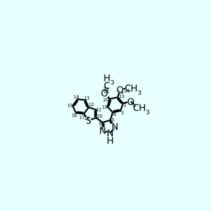 COc1cc(-c2n[nH]nc2-c2cc3ccccc3s2)cc(OC)c1OC